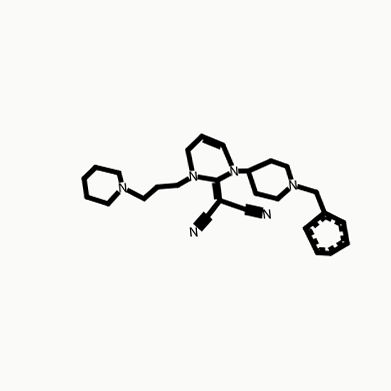 N#CC(C#N)=C1N(CCCN2CCCCC2)CC=CN1C1CCN(Cc2ccccc2)CC1